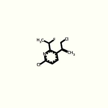 C=C(CCl)c1ccc(Cl)nc1C(C)F